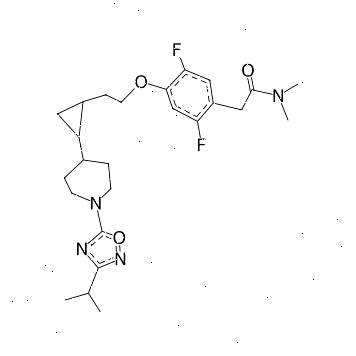 CC(C)c1noc(N2CCC(C3CC3CCOc3cc(F)c(CC(=O)N(C)C)cc3F)CC2)n1